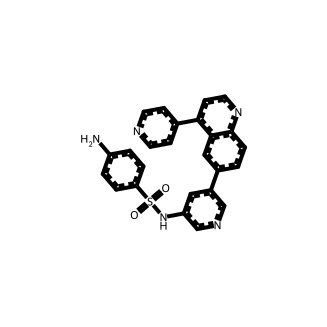 Nc1ccc(S(=O)(=O)Nc2cncc(-c3ccc4nccc(-c5ccncc5)c4c3)c2)cc1